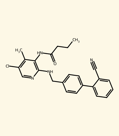 CCCC(=O)Nc1c(NCc2ccc(-c3ccccc3C#N)cc2)ncc(Cl)c1C